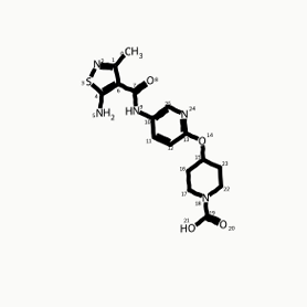 Cc1nsc(N)c1C(=O)Nc1ccc(OC2CCN(C(=O)O)CC2)nc1